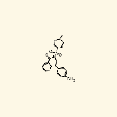 Cc1ccc(S(=O)(=O)N(CCc2ccc(N)cc2)C(=O)c2ccccc2)cc1